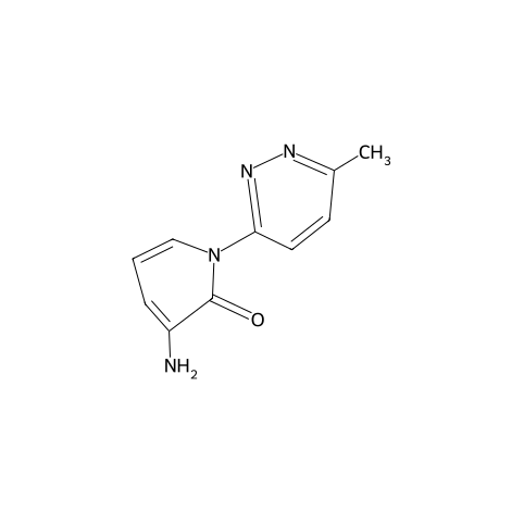 Cc1ccc(-n2cccc(N)c2=O)nn1